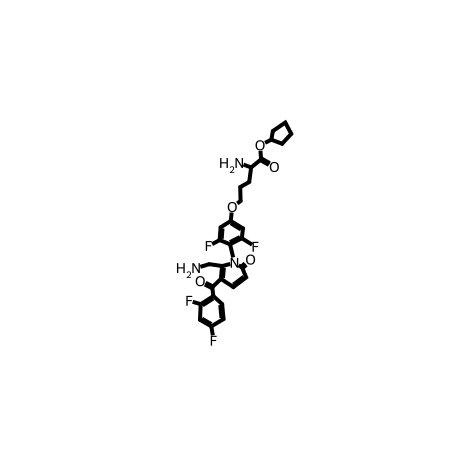 NCc1c(C(=O)c2ccc(F)cc2F)ccc(=O)n1-c1c(F)cc(OCCCC(N)C(=O)OC2CCCC2)cc1F